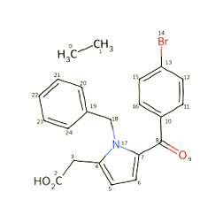 CC.O=C(O)Cc1ccc(C(=O)c2ccc(Br)cc2)n1Cc1ccccc1